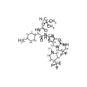 CC1CCC([C@H](NC(=O)OC(C)(C)C)C(=O)Nc2ncc([C@@H](CN3CCC(C(F)(F)F)CC3)N3CC(F)(F)CNC3=O)s2)CC1